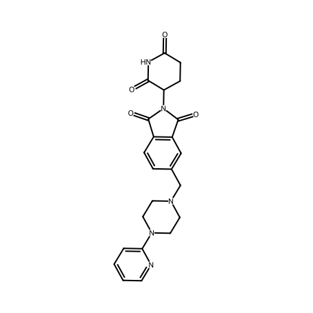 O=C1CCC(N2C(=O)c3ccc(CN4CCN(c5ccccn5)CC4)cc3C2=O)C(=O)N1